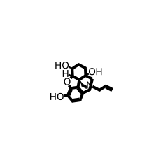 C=CCN1CC[C@@]23c4c5ccc(O)c4O[C@@H]2[C@@H](O)CC[C@]3(O)C1C5